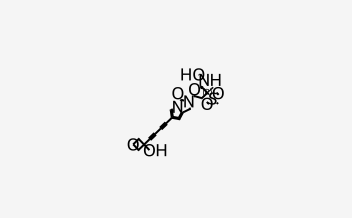 C[C@@](CCN1Cc2cc(C#CC#CC3(O)COC3)cn2C1=O)(C(=O)NO)S(C)(=O)=O